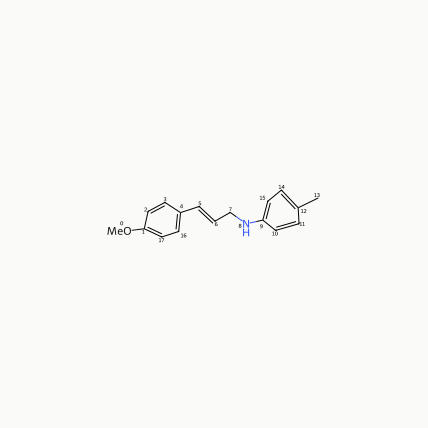 COc1ccc(C=CCNc2ccc(C)cc2)cc1